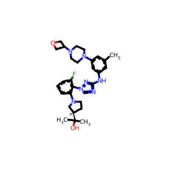 Cc1cc(Nc2ncn(-c3c(F)cccc3N3CC[C@@H](C(C)(C)O)C3)n2)cc(N2CCN(C3COC3)CC2)c1